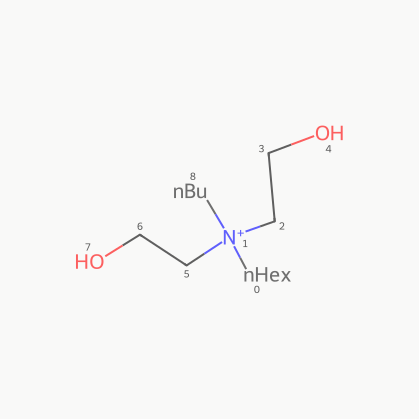 CCCCCC[N+](CCO)(CCO)CCCC